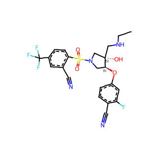 CCNC[C@]1(O)CN(S(=O)(=O)c2ccc(C(F)(F)F)cc2C#N)C[C@@H]1Oc1ccc(C#N)c(F)c1